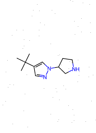 CC(C)(C)c1cnn(C2CCNC2)c1